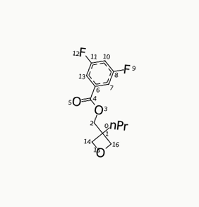 CCCC1(COC(=O)c2cc(F)cc(F)c2)COC1